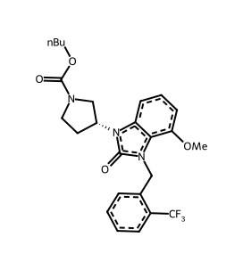 CCCCOC(=O)N1CC[C@@H](n2c(=O)n(Cc3ccccc3C(F)(F)F)c3c(OC)cccc32)C1